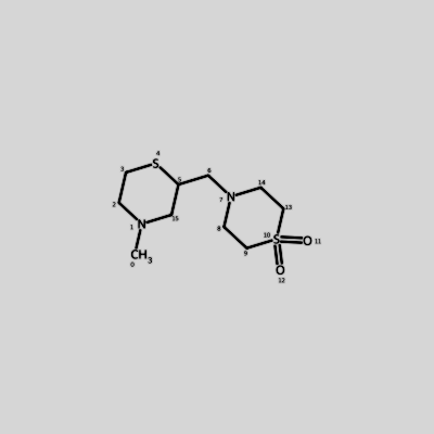 CN1CCSC(CN2CCS(=O)(=O)CC2)C1